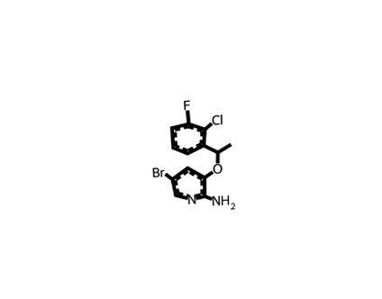 CC(Oc1cc(Br)cnc1N)c1cccc(F)c1Cl